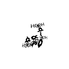 CCCCOB(O)c1ccccc1.COB(OC)c1cccc(C)c1C.Cc1cc(C)c(B(O)O)c(C)c1.Cc1cc(C)cc(B(O)O)c1